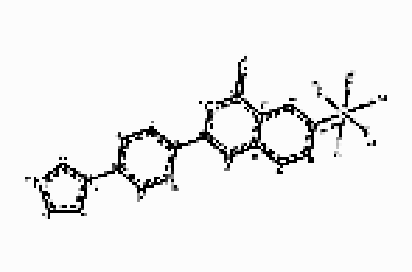 O=c1oc(-c2ccc(-n3ccnc3)nn2)nc2ccc(S(F)(F)(F)(F)F)cc12